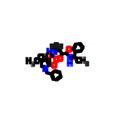 CCCC[C@H](NC(=O)OC1C(=O)N(Cc2ccccc2)CC1(C)C)C(=O)C(=O)N[C@H](C)c1ccccc1